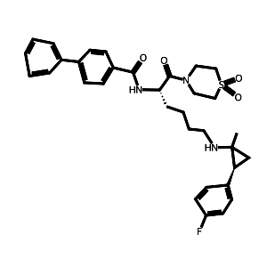 CC1(NCCCC[C@H](NC(=O)c2ccc(-c3ccccc3)cc2)C(=O)N2CCS(=O)(=O)CC2)C[C@H]1c1ccc(F)cc1